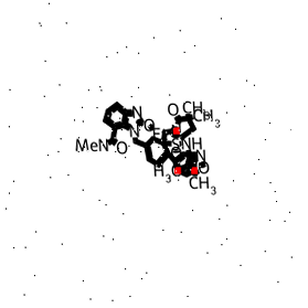 CCOc1nc2cccc(C(=O)NC)c2n1CC1=CC=C(c2ccccc2)C(CN2CCC(C)(C)C2=O)(S(=O)(=O)Nc2noc(C)c2C)C1